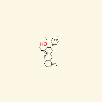 CC[C@@H]1CC[C@H](C2C[C@H](CC)[C@H](I)C(CC3CCCC[C@@H]3CC)C2C)C(C(C)O)C1